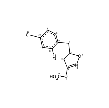 O=C(O)OC1=NOC(Cc2ccc(Cl)cc2Cl)C1